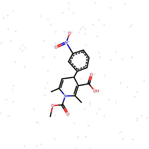 COC(=O)N1C(C)=CC(c2cccc([N+](=O)[O-])c2)C(C(=O)O)=C1C